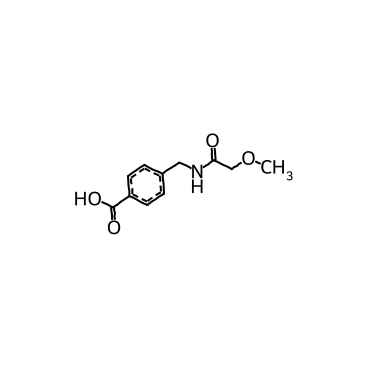 COCC(=O)NCc1ccc(C(=O)O)cc1